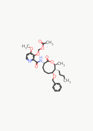 CCCC[C@H]1[C@H](C)OC(=O)[C@@H](NC(=O)c2nccc(OC)c2OCOC(C)=O)CCC[C@@H]1OCc1ccccc1